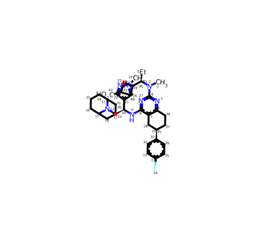 CC[C@@H](N(C)c1nc2c(c(N[C@@H](CN3C4CCCC3CCC4)c3cnn(C)c3)n1)C[C@H](c1ccc(F)cc1)CC2)C12CC(C(=O)O)(C1)C2